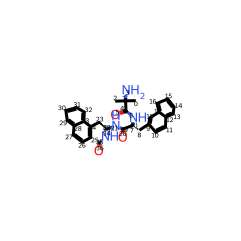 CC(C)(N)C(=O)N[C@H](Cc1ccc2ccccc2c1)C(=O)N[C@H](Cc1cccc2ccccc12)NC=O